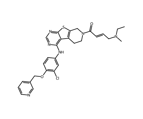 CCN(C)CC=CC(=O)N1CCc2c(sc3ncnc(Nc4ccc(OCc5cccnc5)c(Cl)c4)c23)C1